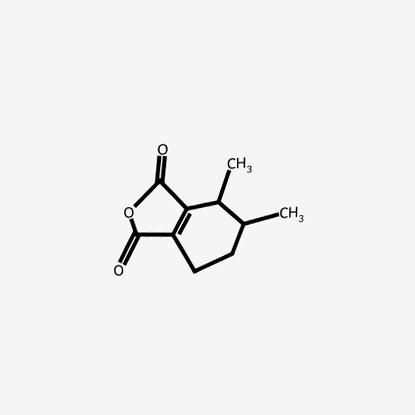 CC1CCC2=C(C(=O)OC2=O)C1C